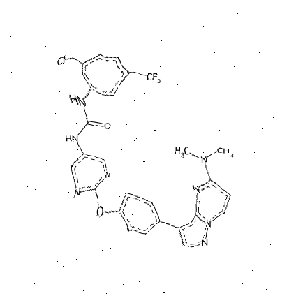 CN(C)c1ccn2ncc(-c3ccc(Oc4ncc(NC(=O)Nc5cc(C(F)(F)F)ccc5Cl)cn4)cc3)c2n1